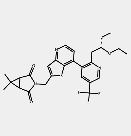 CCO[C@@H](CI)Cc1ncc(C(F)(F)F)cc1-c1ccnc2cc(CN3C(=O)C4C(C3=O)C4(C)C)sc12